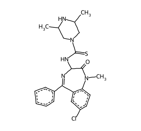 CC1CN(C(=S)NC2N=C(c3ccccc3)c3cc(Cl)ccc3N(C)C2=O)CC(C)N1